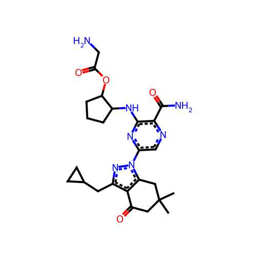 CC1(C)CC(=O)c2c(CC3CC3)nn(-c3cnc(C(N)=O)c(NC4CCCC4OC(=O)CN)n3)c2C1